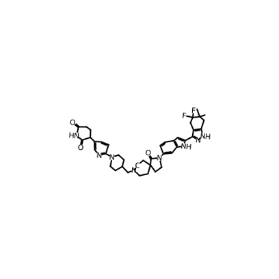 CC1(C)Cc2[nH]nc(-c3cc4ccc(N5CCC6(CCN(CC7CCN(c8ccc(C9CCC(=O)NC9=O)cn8)CC7)CC6)C5=O)cc4[nH]3)c2CC1(F)F